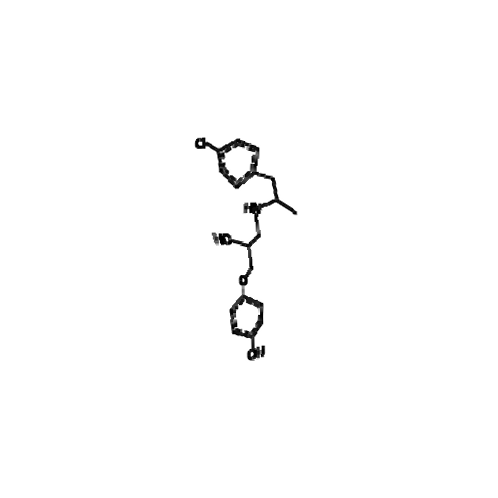 CC(Cc1ccc(Cl)cc1)NCC(O)COc1ccc(O)cc1